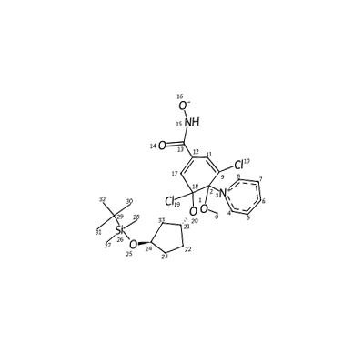 COC1([n+]2ccccc2)C(Cl)=CC(C(=O)N[O-])=CC1(Cl)O[C@@H]1CC[C@@H](O[Si](C)(C)C(C)(C)C)C1